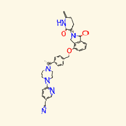 C=C1CC[C@H](N2Cc3c(OCc4ccc([C@@H](C)N5CCN(c6ccc(C#N)cn6)CC5)cc4)cccc3C2=O)C(=O)N1